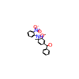 COC1C=C(C(=O)c2ccccc2)C=CC1(C)Nc1ccccc1[N+](=O)[O-]